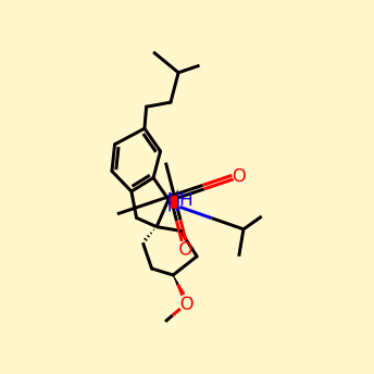 CO[C@H]1CC[C@]2(CC1)Cc1ccc(CCC(C)C)cc1C21NC(=O)N(C(C)C)C1=O